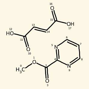 COC(=O)c1ncccn1.O=C(O)/C=C/C(=O)O